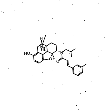 Cc1cccc(C=CC(=O)N(CC(C)C)[C@H]2CC[C@H]3[C@H]4Cc5c(O)ccc6c5[C@@]3(CCN4C)[C@H]2O6)c1